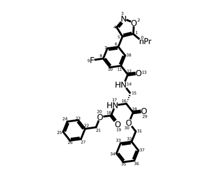 CCCc1oncc1-c1cc(F)cc(C(=O)NC[C@@H](NC(=O)OCc2ccccc2)C(=O)OCc2ccccc2)c1